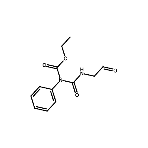 CCOC(=O)N(C(=O)NC[C]=O)c1ccccc1